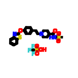 CS(=O)(=O)NC(=O)C1CCN(CCc2ccc(Oc3nc4ccccc4s3)cc2)CC1.O=S(=O)(O)C(F)(F)F